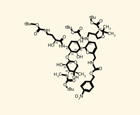 CN(C(=O)OC(C)(C)C)[C@@H]1[C@@H](O)[C@@H](O[C@@H]2[C@@H](O)[C@H](C3OC(CNC(=O)OCc4ccc([N+](=O)[O-])cc4)=CC[C@H]3NCC3COC(C)(C)N3C(=O)OC(C)(C)C)[C@@H](NC(=O)OC(C)(C)C)C[C@H]2NC(=O)[C@@H](O)CCNC(=O)OC(C)(C)C)OC[C@]1(C)O